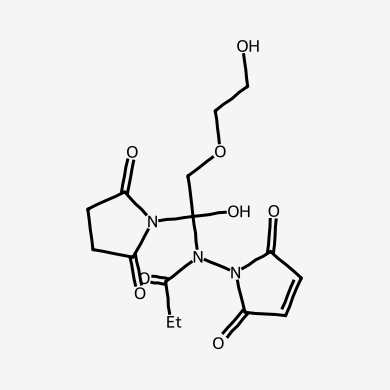 CCC(=O)N(N1C(=O)C=CC1=O)C(O)(COCCO)N1C(=O)CCC1=O